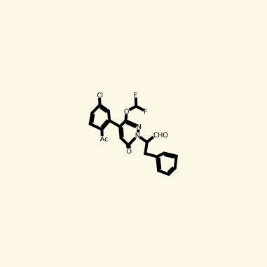 CC(=O)c1ccc(Cl)cc1-c1cc(=O)n(C(C=O)Cc2ccccc2)nc1OC(F)F